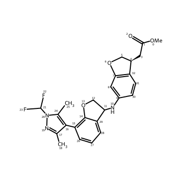 COC(=O)C[C@@H]1COc2cc(NC3COc4c(-c5c(C)nn(C(F)F)c5C)cccc43)ccc21